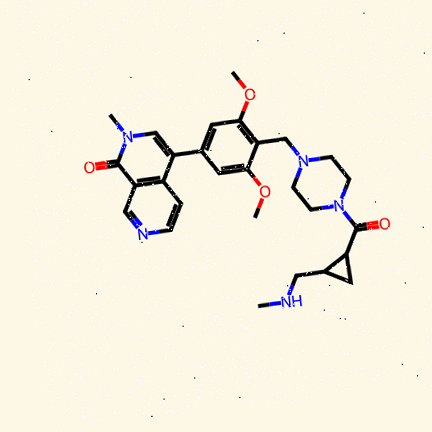 CNCC1CC1C(=O)N1CCN(Cc2c(OC)cc(-c3cn(C)c(=O)c4cnccc34)cc2OC)CC1